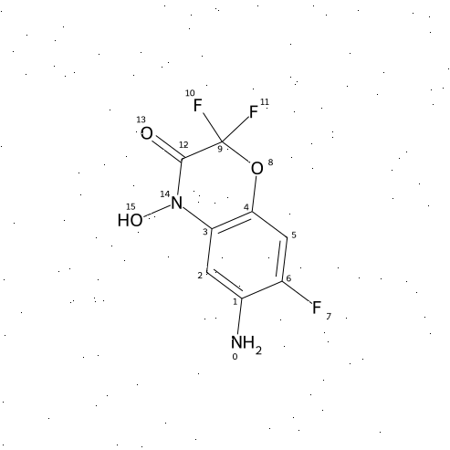 Nc1cc2c(cc1F)OC(F)(F)C(=O)N2O